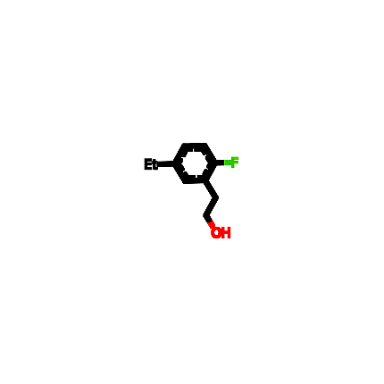 CCc1ccc(F)c(CCO)c1